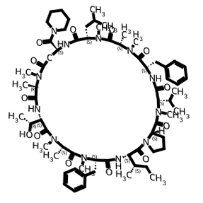 CC[C@H](C)[C@@H]1NC(=O)[C@H](Cc2ccccc2)N(C)C(=O)[C@H](C)N(C)C(=O)[C@H]([C@@H](C)O)NC(=O)[C@@H](C)N(C)C(=O)C[C@@H](C(=O)N2CCCCC2)NC(=O)[C@H](CC(C)C)N(C)C(=O)[C@H](C)N(C)C(=O)[C@H](Cc2ccccc2)NC(=O)[C@H](C(C)C)N(C)C(=O)[C@@H]2CCCN2C1=O